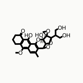 COc1c2c(c(O)c3c4c(c(C)cc13)C1OC3(C(CO)CO)OC1[C@@](O)(O4)[C@@]31CO1)C(=O)CCC2